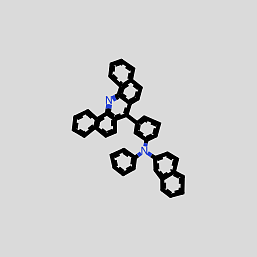 c1ccc(N(c2cccc(-c3c4ccc5ccccc5c4nc4c3ccc3ccccc34)c2)c2ccc3ccccc3c2)cc1